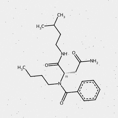 CCCCN(C(=O)c1ccccc1)[C@@H](CC(N)=O)C(=O)NCCC(C)C